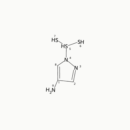 Nc1cnn([SH](S)S)c1